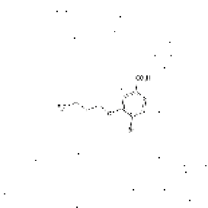 O=C(O)c1ccc(Br)c(OCCCC(F)(F)F)c1